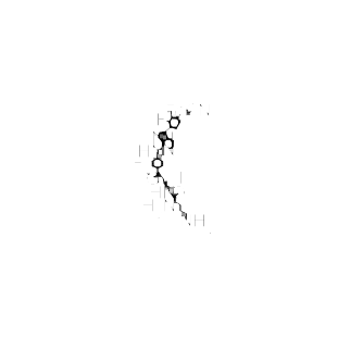 CCc1cc(Nc2nccn3c(-c4ccc(OCC#N)c(F)c4F)cnc23)ccc1C(=O)NCCNC(=O)C(N)CCCN